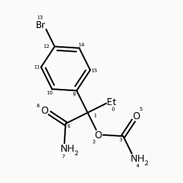 CCC(OC(N)=O)(C(N)=O)c1ccc(Br)cc1